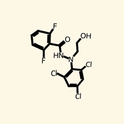 O=C(NN(CCO)c1c(Cl)cc(Cl)cc1Cl)c1c(F)cccc1F